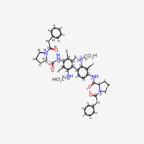 Cc1c(NC(=O)C2CCCN2C(=O)Cc2ccccc2)ccc(-c2c(C)c(C)c(NC(=O)[C@@H]3CCCN3C(=O)Cc3ccccc3)c(C)c2NC(=O)O)c1NC(=O)O